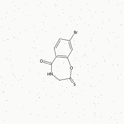 O=C1NCC(=S)Oc2cc(Br)ccc21